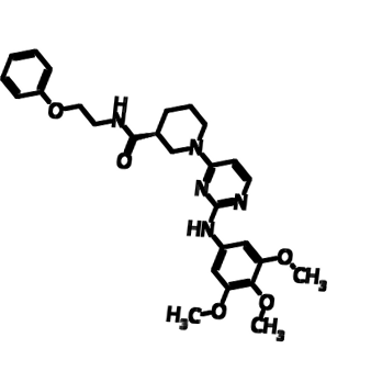 COc1cc(Nc2nccc(N3CCC[C@H](C(=O)NCCOc4ccccc4)C3)n2)cc(OC)c1OC